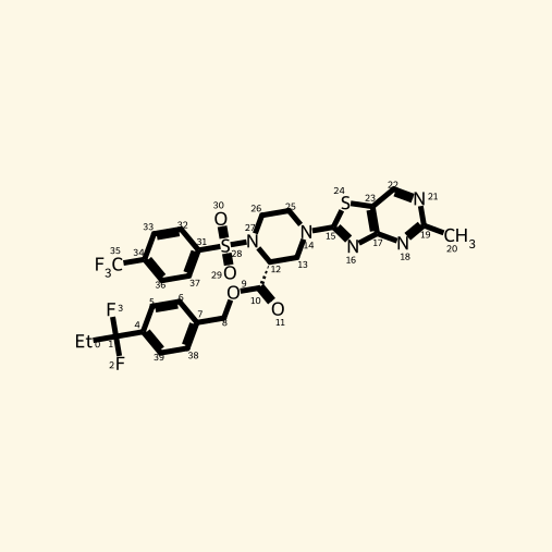 CCC(F)(F)c1ccc(COC(=O)[C@H]2CN(c3nc4nc(C)ncc4s3)CCN2S(=O)(=O)c2ccc(C(F)(F)F)cc2)cc1